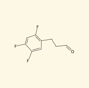 O=CCCc1cc(F)c(F)cc1F